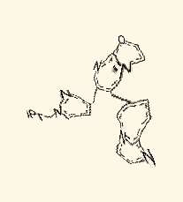 CC(C)n1ccc(-c2nc3occn3c2-c2ccc3nccn3c2)n1